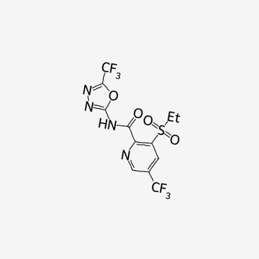 CCS(=O)(=O)c1cc(C(F)(F)F)cnc1C(=O)Nc1nnc(C(F)(F)F)o1